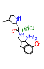 CC1CCNC(CC(=O)NCC2Cc3cccc(O)c3C2N)C1.Cl.Cl